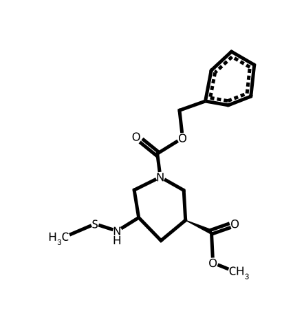 COC(=O)[C@H]1CC(NSC)CN(C(=O)OCc2ccccc2)C1